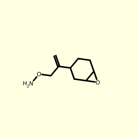 C=C(CON)C1CCC2OC2C1